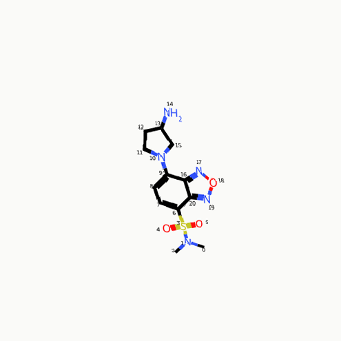 CN(C)S(=O)(=O)c1ccc(N2CCC(N)C2)c2nonc12